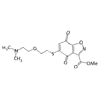 COC(=O)c1noc2c1C(=O)C(SCCOCCN(C)C)=CC2=O